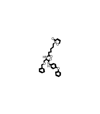 O=C(CCCCCN1OCC=CC1=O)NC(COCc1ccccc1)C(=O)Nc1ccc(Oc2ccccc2)cc1